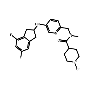 CN(Cc1ccc(NC2Cc3cc(F)cc(F)c3C2)cn1)C(=O)C1CC[S+]([O-])CC1